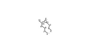 CCCC1[CH]C1.[CH2]CCCCC